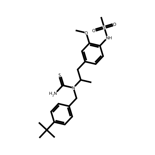 COc1cc(CC(C)N(Cc2ccc(C(C)(C)C)cc2)C(N)=S)ccc1NS(C)(=O)=O